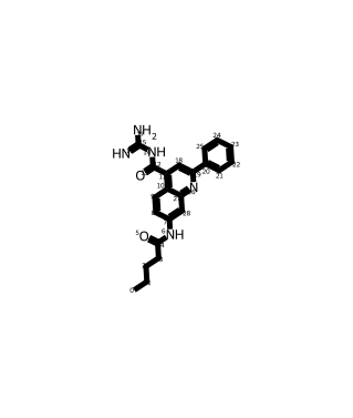 CCCCC(=O)Nc1ccc2c(C(=O)NC(=N)N)cc(-c3ccccc3)nc2c1